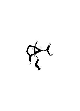 C=CC[C@]12C(=O)CC[C@@H]1[C@@H]2C(=O)O